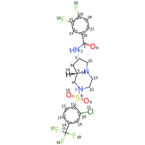 O=C(N[C@H]1C[C@H]2CN(S(=O)(=O)c3ccc(C(F)(F)F)cc3Cl)CCN2C1)c1ccc(F)c(F)c1